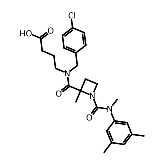 Cc1cc(C)cc(N(C)C(=O)N2CCC2(C)C(=O)N(CCCC(=O)O)Cc2ccc(Cl)cc2)c1